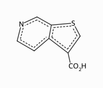 O=C(O)c1csc2cnccc12